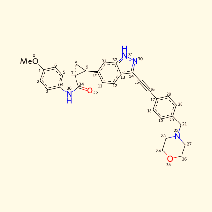 COc1ccc2c(c1)[C@]1(C[C@H]1c1ccc3c(C#Cc4ccc(CN5CCOCC5)cc4)n[nH]c3c1)C(=O)N2